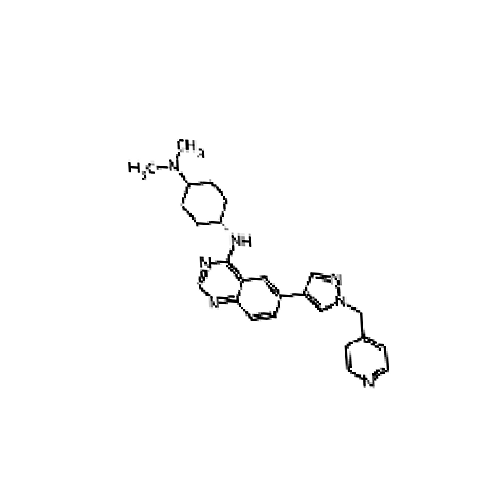 CN(C)[C@H]1CC[C@H](Nc2ncnc3ccc(-c4cnn(Cc5ccncc5)c4)cc23)CC1